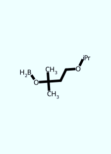 BOC(C)(C)CCOC(C)C